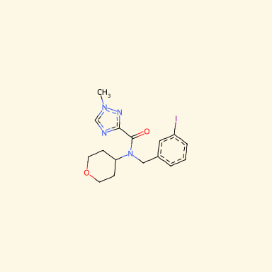 Cn1cnc(C(=O)N(Cc2cccc(I)c2)C2CCOCC2)n1